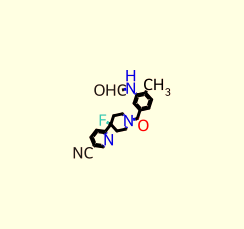 Cc1ccc(C(=O)N2CCC(F)(c3ccc(C#N)cn3)CC2)cc1NC=O